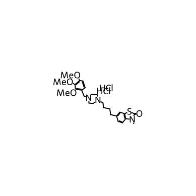 COc1ccc(CN2CCN(CCCCc3ccc4c(c3)sc(=O)n4C)CC2)c(OC)c1OC.Cl.Cl